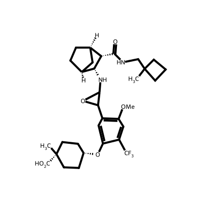 COc1cc(C(F)(F)F)c(O[C@H]2CC[C@@](C)(C(=O)O)CC2)cc1C1OC1N[C@@H]1[C@H]2CC[C@H](C2)[C@@H]1C(=O)NCC1(C)CCC1